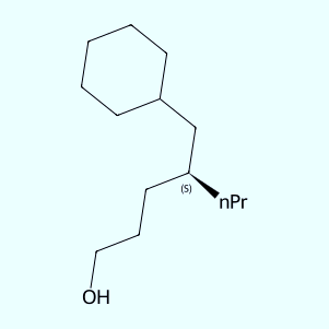 CCC[C@@H](CCCO)CC1CCCCC1